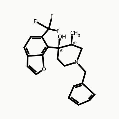 C[C@H]1CN(Cc2ccccc2)CC[C@]1(O)c1c(C(F)(F)F)ccc2ccoc12